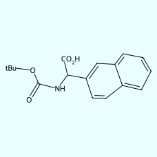 CC(C)(C)OC(=O)NC(C(=O)O)c1ccc2ccccc2c1